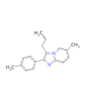 C=CCc1c(-c2ccc(C)cc2)nc2ccc(C)cn12